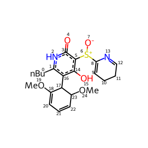 CCCCc1[nH]c(=O)c([S+]([O-])C2=CCCC=N2)c(O)c1C1C(OC)=CC=CC1OC